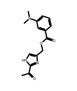 CC(=O)c1nc(COC(=O)c2cccc(N(C)C)c2)c[nH]1